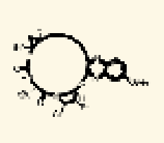 CC[C@@H]1[C@@H]2CN(C(=O)[C@H](C(C)(C)C)NC(=O)O[C@]3(C(C)C)C[C@H]3CCCCCc3nc4ccc(OC)cc4nc3O2)[C@@H]1C(C)=O